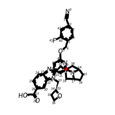 N#Cc1ccc(COc2cccc(N3C4CCC3CN(Cc3nc5ccc(C(=O)O)cc5n3C[C@@H]3CCO3)C4)n2)c(F)c1